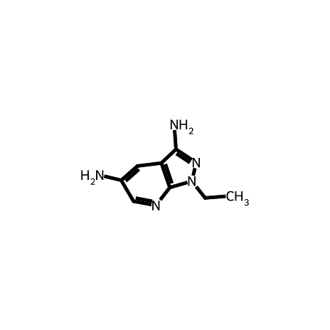 CCn1nc(N)c2cc(N)cnc21